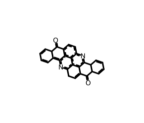 O=C1c2ccc3nc4c5c6c(nc(c2c36)=C2C=CC=CC12)CC=C5C(=O)C1C=CC=CC41